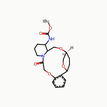 CC(C)(C)OC(=O)NC1CCCN2C(=O)COc3ccccc3C3CC[C@@H](CO3)OCC12